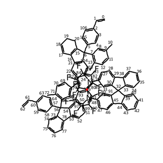 C=Cc1ccc(C2(c3cc(C)ccc3C)C3=C(C=CCC3)c3ccc(N(c4ccc5c(c4)C4(c6ccccc6-5)c5ccccc5-c5ccc(N(c6ccc7c(c6)C(c6ccc(C=C)cc6)(c6cc(C)ccc6C)c6ccccc6-7)c6c(F)c(F)c(F)c(F)c6F)cc54)c4c(F)c(F)c(F)c(F)c4F)cc32)cc1